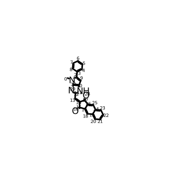 Cn1c(-c2ccccc2)cc2[nH]c(C=C3C(=O)c4cc5ccccc5cc4C3=O)nc21